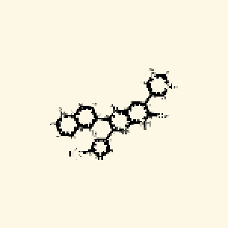 Cc1ncc(-c2nc3[nH]c(=O)c(-c4cncnc4)cc3nc2-c2ccc3ncccc3c2)s1